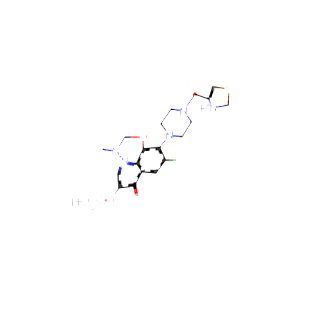 CN1COc2c(N3CCN(C(=O)C4=CSCN4)CC3)c(F)cc3c(=O)c(OC(=O)O)cn1c23